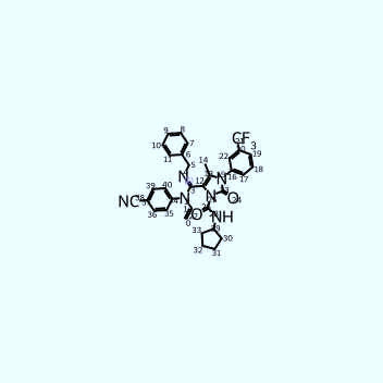 C=CN(/C(=N/Cc1ccccc1)c1c(C)n(-c2cccc(C(F)(F)F)c2)c(=O)n1C(=O)NC1CCCC1)c1ccc(C#N)cc1